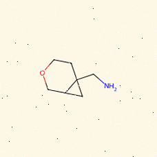 NCC12CCOCC1C2